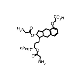 CCCCC[C@H](CC[C@@H]1C2Cc3cccc(OCC(=O)O)c3CC2C[C@H]1OC(=O)CN)OC(=O)CN